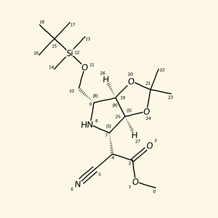 COC(=O)C(C#N)[C@@H]1N[C@H](CO[Si](C)(C)C(C)(C)C)[C@H]2OC(C)(C)O[C@H]21